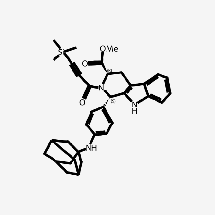 COC(=O)[C@H]1Cc2c([nH]c3ccccc23)[C@H](c2ccc(NC34CC5CC(CC(C5)C3)C4)cc2)N1C(=O)C#C[Si](C)(C)C